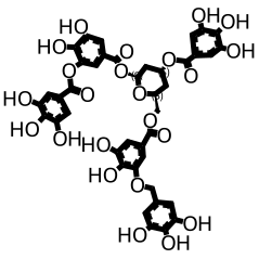 O=C(OC[C@@H]1C[C@H](OC(=O)c2cc(O)c(O)c(O)c2)C[C@H](OC(=O)c2cc(O)c(O)c(OC(=O)c3cc(O)c(O)c(O)c3)c2)O1)c1cc(O)c(O)c(OCc2cc(O)c(O)c(O)c2)c1